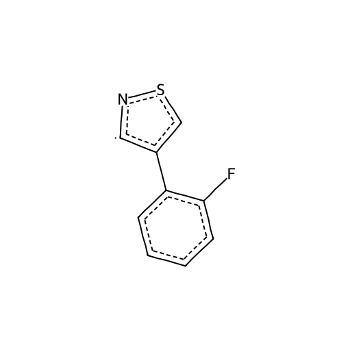 Fc1ccccc1-c1[c]nsc1